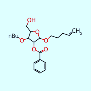 C=CCCCOC1OC(CO)C(OCCCC)C1OC(=O)c1ccccc1